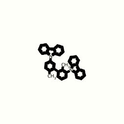 Cc1ccc(-n2c3ccccc3c3ccccc32)cc1-c1cccc(-n2c3ccccc3c3ccccc32)c1C